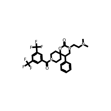 CN(C)CCN1CC(c2ccccc2)C2(CCN(C(=O)c3cc(C(F)(F)F)cc(C(F)(F)F)c3)CC2)OC1=O